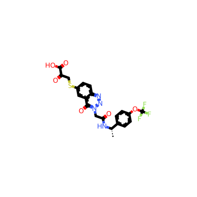 C[C@H](NC(=O)Cn1nnc2ccc(SCC(=O)C(=O)O)cc2c1=O)c1ccc(OC(F)(F)F)cc1